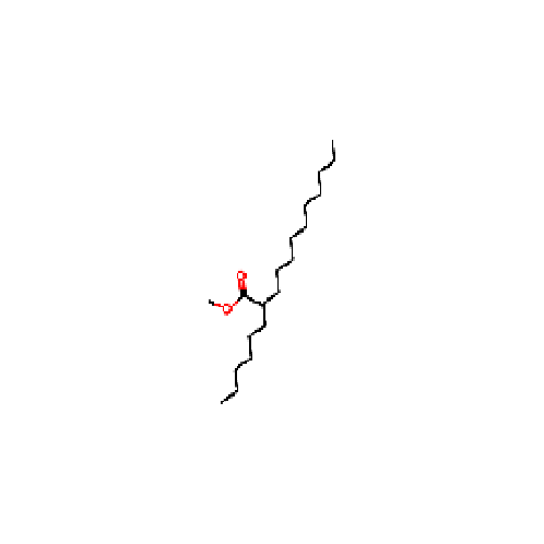 CCCCCCCCCCC(CCCCCC)C(=O)OC